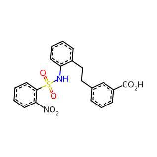 O=C(O)c1cccc(CCc2ccccc2NS(=O)(=O)c2ccccc2[N+](=O)[O-])c1